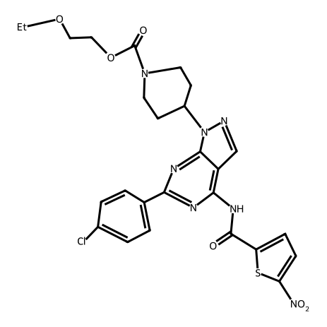 CCOCCOC(=O)N1CCC(n2ncc3c(NC(=O)c4ccc([N+](=O)[O-])s4)nc(-c4ccc(Cl)cc4)nc32)CC1